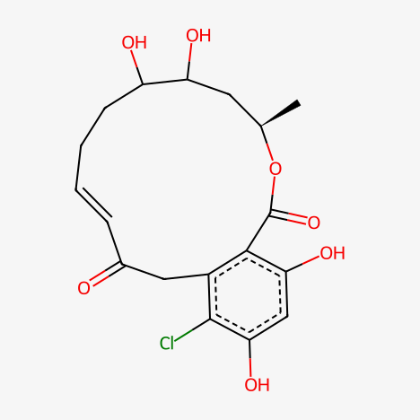 C[C@@H]1CC(O)C(O)CC/C=C/C(=O)Cc2c(Cl)c(O)cc(O)c2C(=O)O1